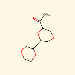 COC(=O)C1COCC(C2COCCO2)O1